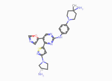 CC1(N)CCN(c2ccc(Nc3ncc(-c4cnco4)c(-c4cc(N5CC[C@H](N)C5)ns4)n3)cc2)CC1